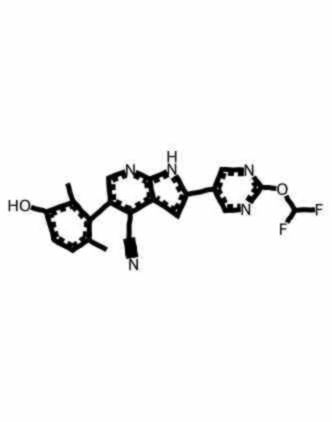 Cc1ccc(O)c(C)c1-c1cnc2[nH]c(-c3cnc(OC(F)F)nc3)cc2c1C#N